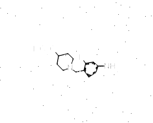 Nc1ccc(CN2CCC(C(=O)O)CC2)c(F)c1